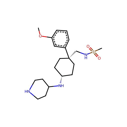 COc1cccc([C@]2(CNS(C)(=O)=O)CC[C@@H](NC3CCNCC3)CC2)c1